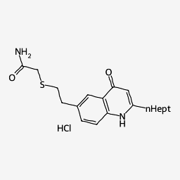 CCCCCCCc1cc(=O)c2cc(CCSCC(N)=O)ccc2[nH]1.Cl